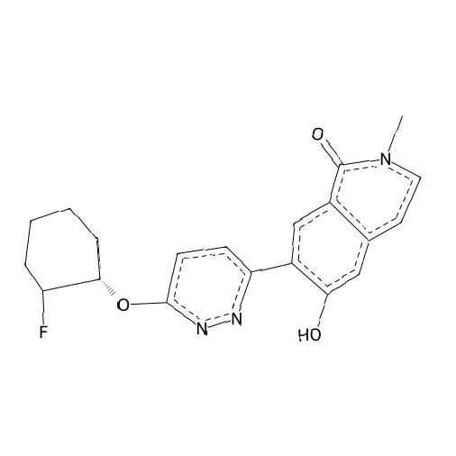 Cn1ccc2cc(O)c(-c3ccc(O[C@H]4CCCCC4F)nn3)cc2c1=O